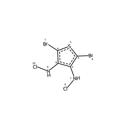 ClNc1c(Br)sc(Br)c1NCl